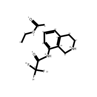 CCOC(C)=O.O=C(Nc1cccc2c1CNCC2)C(F)(F)F